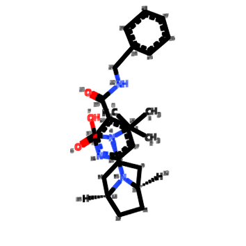 CC(C)(C)N(C(=O)O)[C@H]1C[C@H]2CC[C@@H](C1)N2c1ccc(C(=O)NCc2ccccc2)cn1